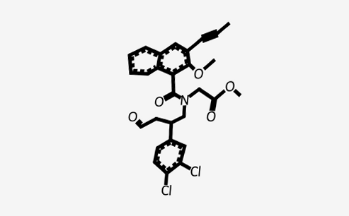 CC#Cc1cc2ccccc2c(C(=O)N(CC(=O)OC)CC(CC=O)c2ccc(Cl)c(Cl)c2)c1OC